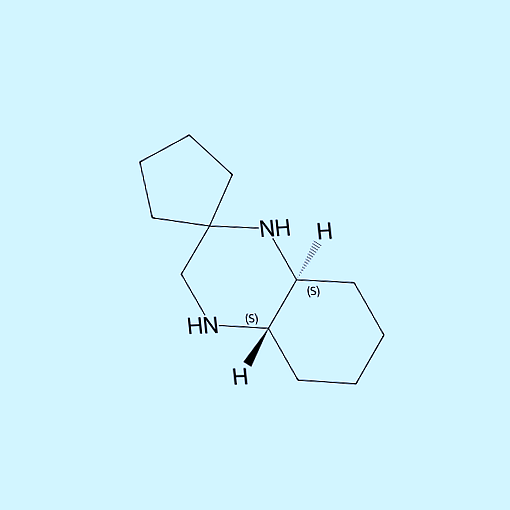 C1CC[C@@H]2NC3(CCCC3)CN[C@H]2C1